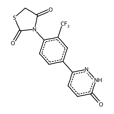 O=C1CSC(=O)N1c1ccc(-c2ccc(=O)[nH]n2)cc1C(F)(F)F